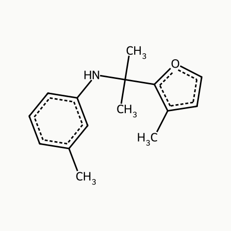 Cc1cccc(NC(C)(C)c2occc2C)c1